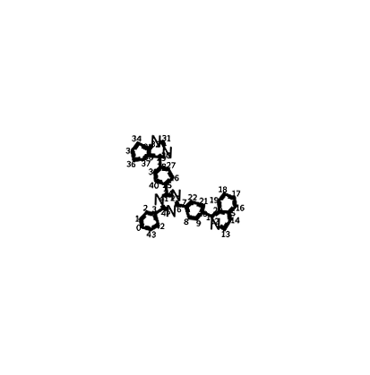 c1ccc(-c2nc(-c3ccc(-c4nccc5ccccc45)cc3)nc(-c3ccc(-c4ncnc5ccccc45)cc3)n2)cc1